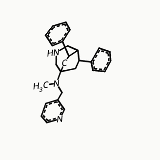 CN(Cc1cccnc1)C12CNCC(C(c3ccccc3)C1)C(c1ccccc1)C2